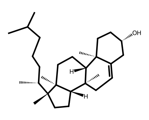 CC(C)CCC[C@@H](C)[C@@]1(C)CC[C@H]2[C@]3(C)CC=C4C[C@@H](O)CC[C@]4(C)[C@H]3CC[C@@]21C